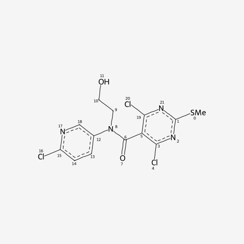 CSc1nc(Cl)c(C(=O)N(CCO)c2ccc(Cl)nc2)c(Cl)n1